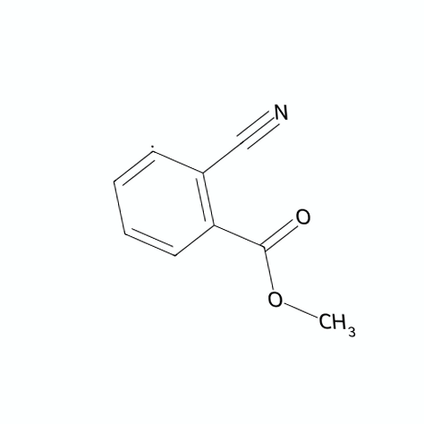 COC(=O)c1ccc[c]c1C#N